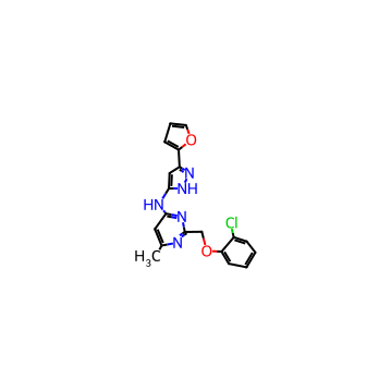 Cc1cc(Nc2cc(-c3ccco3)n[nH]2)nc(COc2ccccc2Cl)n1